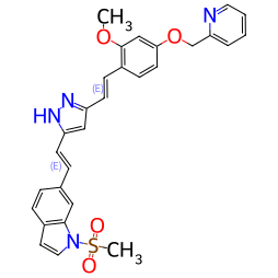 COc1cc(OCc2ccccn2)ccc1/C=C/c1cc(/C=C/c2ccc3ccn(S(C)(=O)=O)c3c2)[nH]n1